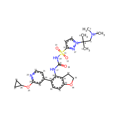 CN(C)CC(C)(C)n1ccc(S(=O)(=O)NC(=O)Nc2c(-c3ccnc(OC4CC4)c3)ccc3c2CCO3)n1